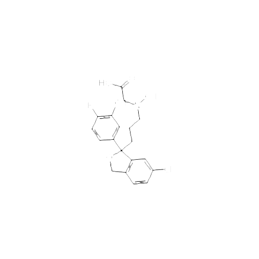 Cc1cc(C2(CCCN(C)CC(=O)O)OCc3ccc(Cl)cc32)ccc1F